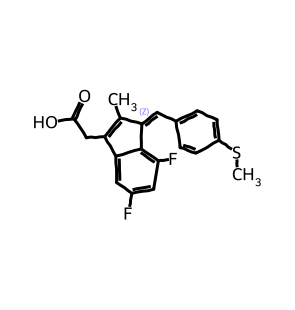 CSc1ccc(/C=C2/C(C)=C(CC(=O)O)c3cc(F)cc(F)c32)cc1